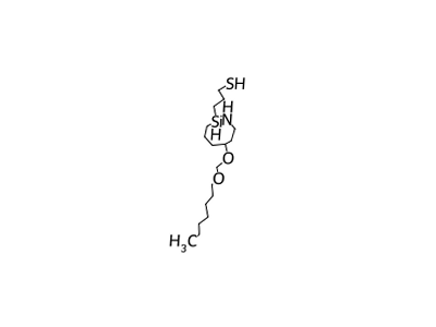 CCCCCCCOCOC1CCC[SiH](CCCS)NCC1